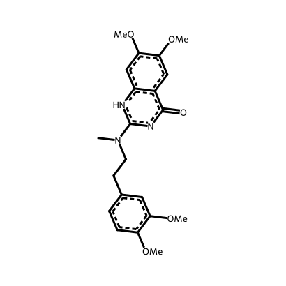 COc1ccc(CCN(C)c2nc(=O)c3cc(OC)c(OC)cc3[nH]2)cc1OC